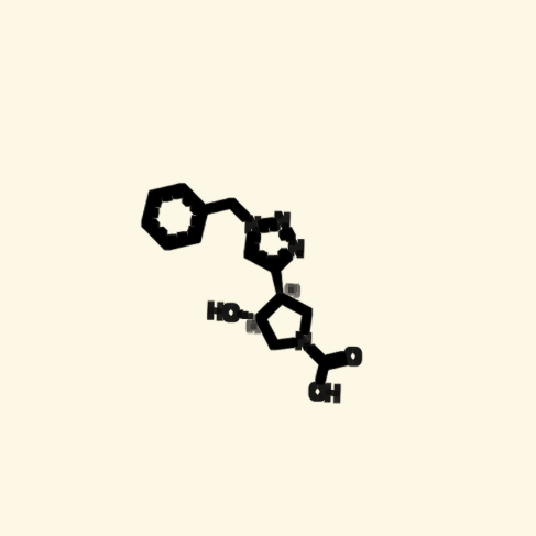 O=C(O)N1C[C@H](c2cn(Cc3ccccc3)nn2)[C@@H](O)C1